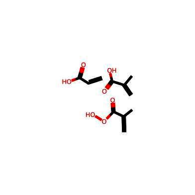 C=C(C)C(=O)O.C=C(C)C(=O)OO.C=CC(=O)O